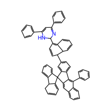 C1=CCC2C(=C1)C1(c3cc(C4C=CC(C5N=C(c6ccccc6)C=C(c6ccccc6)N5)=C5C=CC=CC54)ccc3-c3c1cc1ccccc1c3-c1ccccc1)c1ccccc12